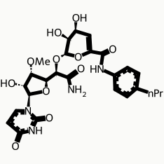 CCCc1ccc(NC(=O)C2=C[C@H](O)[C@H](O)[C@@H](O[C@@H](C(N)=O)[C@H]3O[C@@H](n4ccc(=O)[nH]c4=O)[C@H](O)[C@@H]3OC)O2)cc1